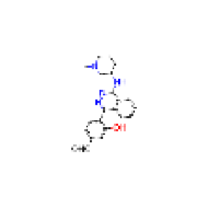 CN1CCCC(Nc2nnc(-c3ccc(C=O)cc3O)c3ccccc23)C1